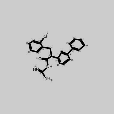 N=C(N)NC(=O)C(Cc1ccccc1Cl)c1cccc(-c2ccccc2)c1